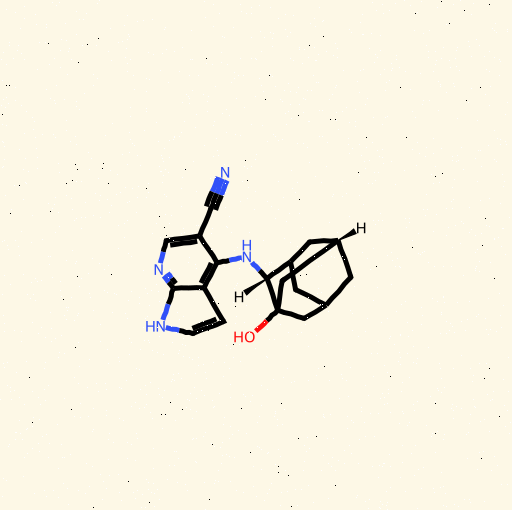 N#Cc1cnc2[nH]ccc2c1N[C@@H]1C2CC3C[C@@H](C2)CC1(O)C3